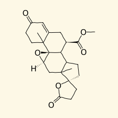 COC(=O)[C@@H]1CC2=CC(=O)CCC2(C)[C@@]23O[C@@H]2CC2(C)C(CC[C@@]24CCC(=O)O4)C13